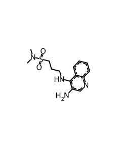 CN(C)S(=O)(=O)CCCNc1c(N)cnc2ccccc12